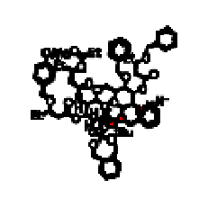 CCC(=O)O[C@H](CC)CC(=O)NC1[C@H](OCC2OC(O[Si](C)(C)C(C)(C)C)C(N=[N+]=[N-])[C@@H](OC(=O)C[C@@H](CC)OCc3ccccc3)[C@@H]2OCc2ccccc2)OC(COCc2ccccc2)[C@@H](OP2(=O)OCc3ccccc3CO2)[C@@H]1OC(=O)C[C@@H](CC)OCc1ccc(OC)cc1